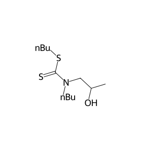 CCCCSC(=S)N(CCCC)CC(C)O